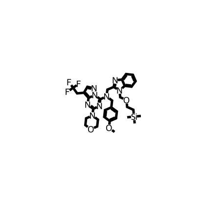 COc1ccc(CN(Cc2nc3ccccc3n2COCC[Si](C)(C)C)c2nc(N3CCOCC3)nc3c(CC(F)(F)F)cnn23)cc1